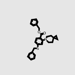 O=C(OCc1ccccc1)c1ccc(SCc2ccccc2)cc1N1CCC2(CC1)CC2